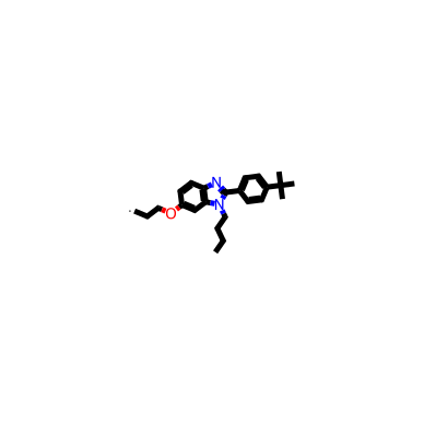 [CH2]CCOc1ccc2nc(-c3ccc(C(C)(C)C)cc3)n(CCCC)c2c1